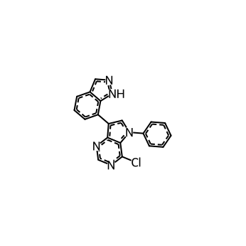 Clc1ncnc2c(-c3cccc4cn[nH]c34)cn(-c3ccccc3)c12